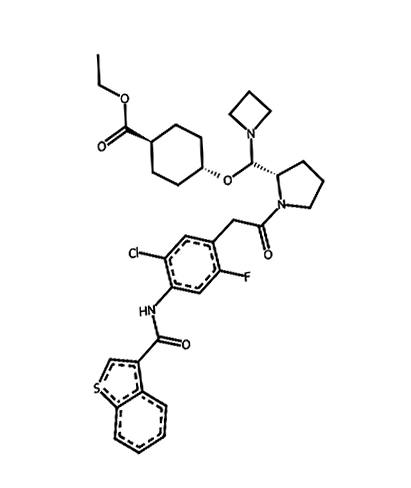 CCOC(=O)[C@H]1CC[C@H](OC([C@@H]2CCCN2C(=O)Cc2cc(Cl)c(NC(=O)c3csc4ccccc34)cc2F)N2CCC2)CC1